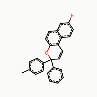 Cc1ccc(C2(c3ccccc3)C=Cc3c(ccc4cc(Br)ccc34)O2)cc1